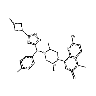 CC1CN(c2cc(=O)n(C)c3ccc(C#N)nc23)[C@@H](C)CN1C(c1ccc(F)cc1)c1nc(C2CN(C)C2)no1